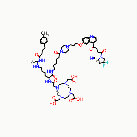 Cc1ccc(CCCC(=O)NC(C)NCCCCC(NC(=O)CN2CCN(CC(=O)O)CCN(CC(=O)O)CCN(CC(=O)O)CC2)C(=O)NCCCCCC(=O)N2CCN(CCCOc3ccc4nccc(C(=O)CCC(=O)N5CC(F)(F)C[C@@H]5C#N)c4c3)CC2)cc1